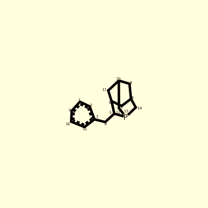 c1ccc(CC2C3CC4CC(C3)CP2C4)cc1